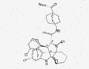 CCN1[C@@H](C(=O)NC23CCC(C(=O)OC)(CC2)CC3)[C@H](c2cccc(Cl)c2F)[C@]2(C(=O)Nc3cc(Cl)ccc32)C12CCCCC2